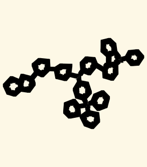 c1ccc(-n2c3ccccc3c3c(-c4cccc(N(c5ccc(-c6cccc(-c7ccc8ccccc8c7)c6)cc5)c5ccc([Si](c6ccccc6)(c6ccccc6)c6ccccc6)cc5)c4)cccc32)cc1